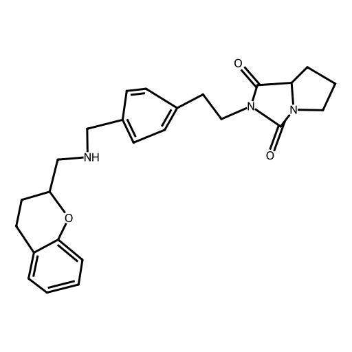 O=C1C2CCCN2C(=O)N1CCc1ccc(CNCC2CCc3ccccc3O2)cc1